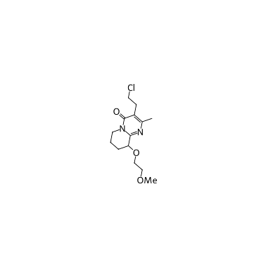 COCCOC1CCCn2c1nc(C)c(CCCl)c2=O